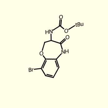 CC(C)(C)OC(=O)NC1COc2c(Br)cccc2NC1=O